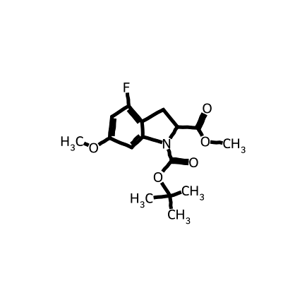 COC(=O)C1Cc2c(F)cc(OC)cc2N1C(=O)OC(C)(C)C